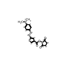 CN(C)c1ccc(N=Nc2cc(C(=O)ON3C(=O)CCC3=O)cs2)cc1